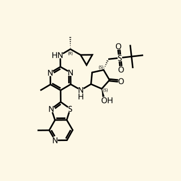 Cc1nc(N[C@H](C)C2CC2)nc(NC2C[C@H](CS(=O)(=O)C(C)(C)C)C(=O)[C@H]2O)c1-c1nc2c(C)nccc2s1